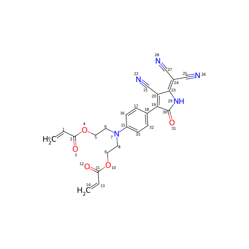 C=CC(=O)OCCN(CCOC(=O)C=C)c1ccc(C2=C(C#N)C(=C(C#N)C#N)NC2=O)cc1